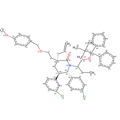 C=CC[C@@]1(CCOCc2ccc(OC)cc2)C[C@H](c2cccc(Cl)c2)[C@@H](c2ccc(Cl)cc2)N(C(CC)CO[Si](c2ccccc2)(c2ccccc2)C(C)(C)C)C1=O